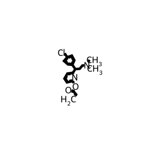 C=CC(=O)Oc1cccc(C(CCN(C)C)c2ccc(Cl)cc2)n1